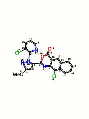 COc1cc(-c2nc3c(Cl)c4ccccc4cc3c(=O)o2)n(-c2ncccc2Cl)n1